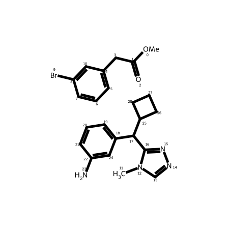 COC(=O)Cc1cccc(Br)c1.Cn1cnnc1C(c1cccc(N)c1)C1CCC1